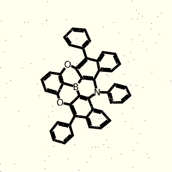 c1ccc(-c2c3c4c(c5ccccc25)N(c2ccccc2)c2c5c(c(-c6ccccc6)c6ccccc26)Oc2cccc(c2B45)O3)cc1